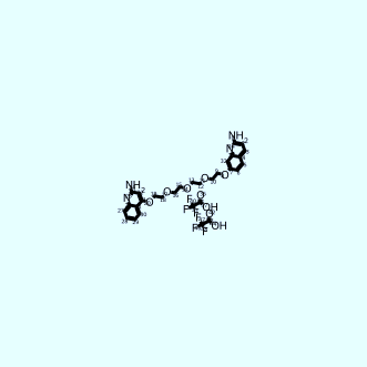 Nc1ccc2ccc(OCCOCCOCCOCCOc3cc(N)nc4ccccc34)cc2n1.O=C(O)C(F)(F)F.O=C(O)C(F)(F)F